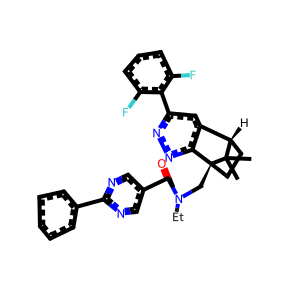 CCN(C[C@@]12CC[C@@H](c3cc(-c4c(F)cccc4F)nnc31)C2(C)C)C(=O)c1cnc(-c2ccccc2)nc1